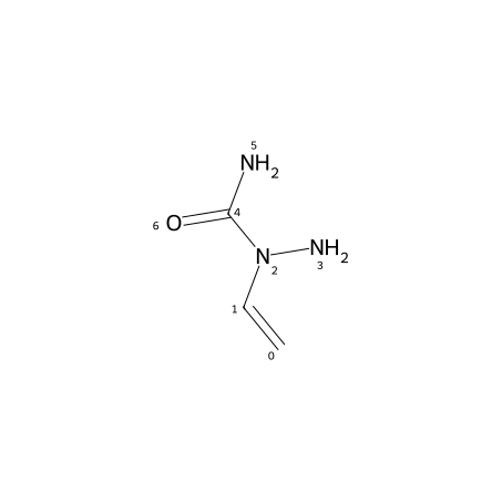 C=CN(N)C(N)=O